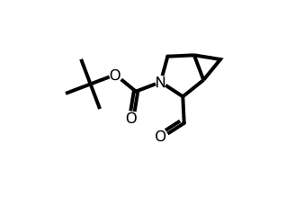 CC(C)(C)OC(=O)N1CC2CC2C1C=O